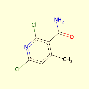 Cc1cc(Cl)nc(Cl)c1C(N)=O